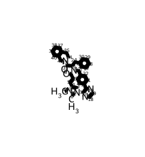 Cc1ncc(C=CC(=O)N(Cc2ccc(-c3cnccn3)cc2)C(Cc2ccccc2)C(=O)N2CCc3ccccc3C2)n1C